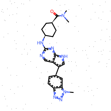 CN(C)C(=O)[C@H]1CC[C@@H](Nc2ncc3c(-c4ccc5nnn(C)c5c4)c[nH]c3n2)CC1